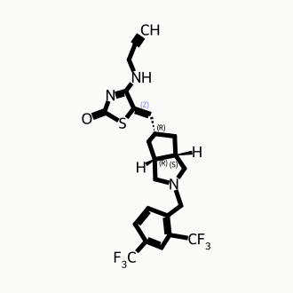 C#CCNC1=NC(=O)S/C1=C\[C@@H]1C[C@@H]2CN(Cc3ccc(C(F)(F)F)cc3C(F)(F)F)C[C@@H]2C1